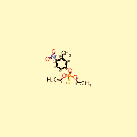 CCOP(=S)(OCC)Oc1ccc([N+](=O)[O-])c(C)c1